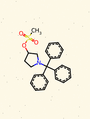 CS(=O)(=O)OC1CCN(C(c2ccccc2)(c2ccccc2)c2ccccc2)C1